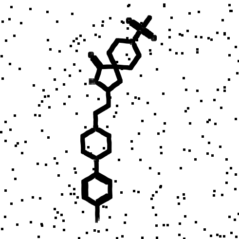 CS(=O)(=O)N1CCC2(CC1)CC(CCN1CCN(c3ccc(F)cc3)CC1)NC2=O